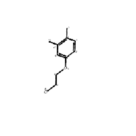 Cc1ccc(OCCCl)cc1C